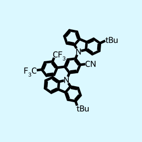 CC(C)(C)c1ccc2c(c1)c1ccccc1n2-c1cc(-c2ccc(C(F)(F)F)cc2C(F)(F)F)c(-n2c3ccccc3c3cc(C(C)(C)C)ccc32)cc1C#N